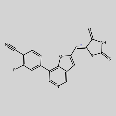 N#Cc1ccc(-c2cncc3cc(/C=C4\SC(=S)NC4=O)oc23)cc1F